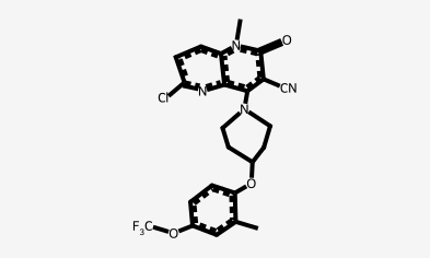 Cc1cc(OC(F)(F)F)ccc1OC1CCN(c2c(C#N)c(=O)n(C)c3ccc(Cl)nc23)CC1